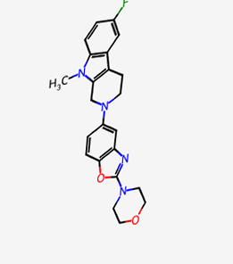 Cn1c2c(c3cc(F)ccc31)CCN(c1ccc3oc(N4CCOCC4)nc3c1)C2